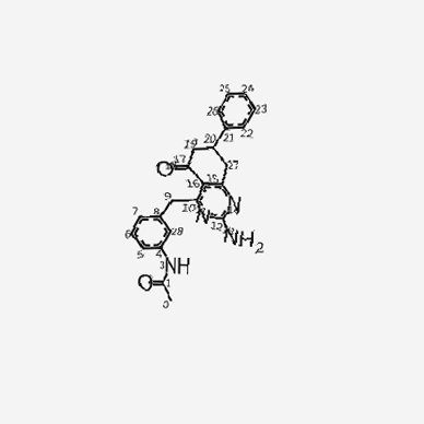 CC(=O)Nc1cccc(Cc2nc(N)nc3c2C(=O)CC(c2ccccc2)C3)c1